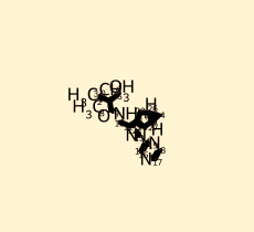 CC(C)(C)C(CO)C(=O)NCc1nn(-c2cnccn2)c2c1C[C@@H]1C[C@H]21